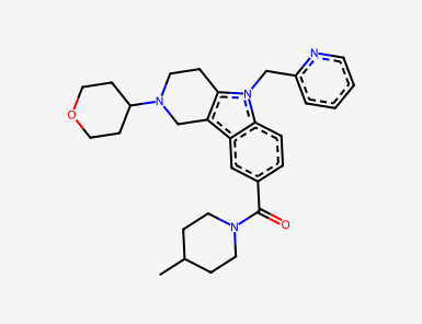 CC1CCN(C(=O)c2ccc3c(c2)c2c(n3Cc3ccccn3)CCN(C3CCOCC3)C2)CC1